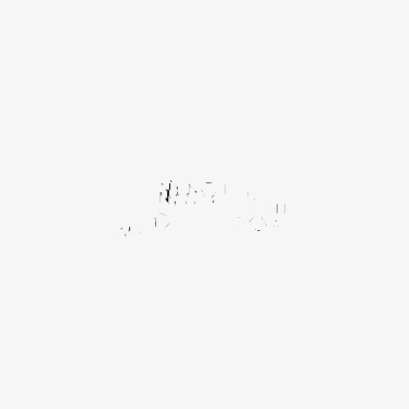 COc1ccc(Cn2nnnc2C(=O)Nc2cc(OCCCOc3ccc(C(C)=O)c(O)c3CCC(F)(F)F)c(F)cc2C)cc1